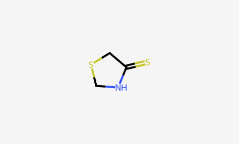 S=C1CSCN1